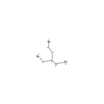 CCOC(CBr)CCBr